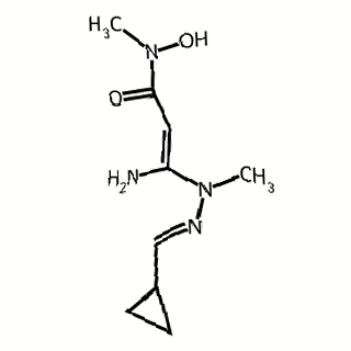 CN(O)C(=O)/C=C(\N)N(C)/N=C/C1CC1